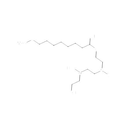 CCN(CCOC(C)CCCCCCCSSC)CCN(C)CCO